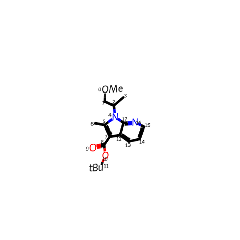 COCC(C)n1c(C)c(C(=O)OC(C)(C)C)c2cccnc21